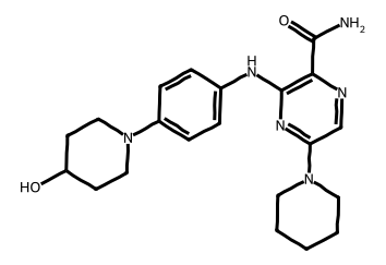 NC(=O)c1ncc(N2CCCCC2)nc1Nc1ccc(N2CCC(O)CC2)cc1